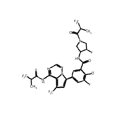 CC(C(=O)Nc1ncnn2c(-c3cc(F)c(Cl)c(C(=O)NC4CN(C(=O)C(C)C(F)(F)F)CC4F)c3)cc(C(F)(F)F)c12)C(F)(F)F